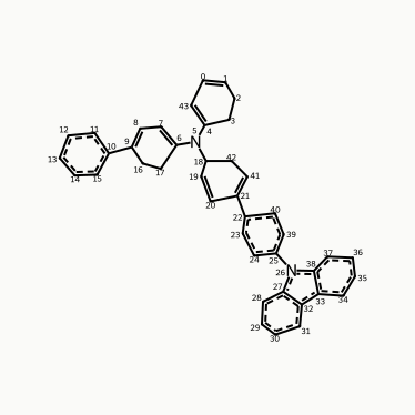 C1=CCCC(N(C2=CC=C(c3ccccc3)CC2)C2C=CC(c3ccc(-n4c5ccccc5c5ccccc54)cc3)=CC2)=C1